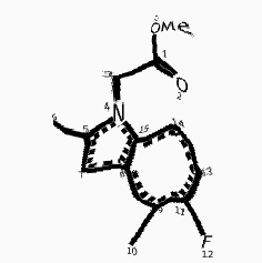 COC(=O)Cn1c(C)cc2c(C)c(F)ccc21